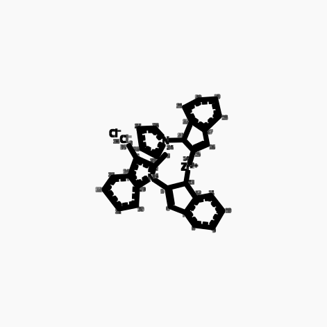 Cc1c(C)n(C2=Cc3ccccc3[CH]2[Zr+2][C]2=Cc3ccccc3C2n2cccc2)c2ccccc12.[Cl-].[Cl-]